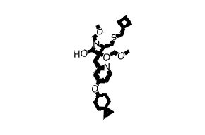 COCOC1(Cc2cc(OC3CCC4(CC3)CC4)ccn2)C(O)N(COC)C1CSCC1CCC1